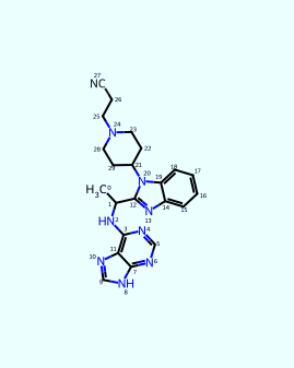 CC(Nc1ncnc2[nH]cnc12)c1nc2ccccc2n1C1CCN(CCC#N)CC1